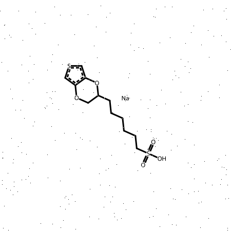 O=S(=O)(O)CCCCCCC1COc2cscc2O1.[Na]